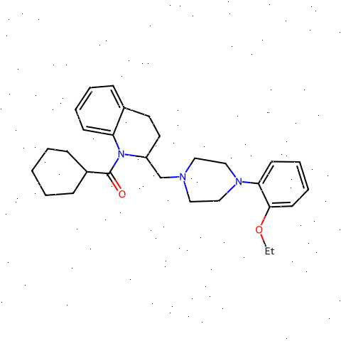 CCOc1ccccc1N1CCN(CC2CCc3ccccc3N2C(=O)C2CCCCC2)CC1